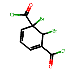 O=C(Cl)C1=CC=CC(Br)(C(=O)Cl)C1Br